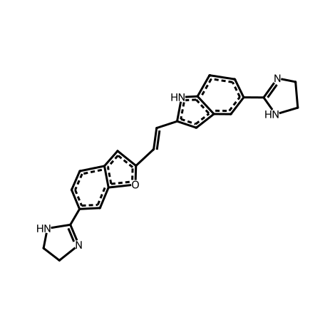 C(=C\c1cc2ccc(C3=NCCN3)cc2o1)/c1cc2cc(C3=NCCN3)ccc2[nH]1